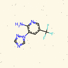 Nc1ncc(C(F)(F)F)cc1-n1cncn1